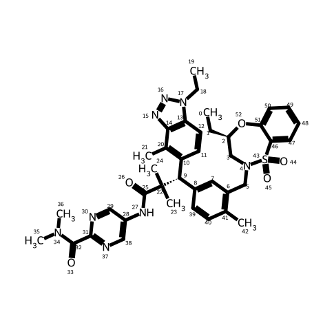 CC[C@@H]1CN(Cc2cc([C@@H](c3ccc4c(nnn4CC)c3C)C(C)(C)C(=O)Nc3cnc(C(=O)N(C)C)nc3)ccc2C)S(=O)(=O)c2ccccc2O1